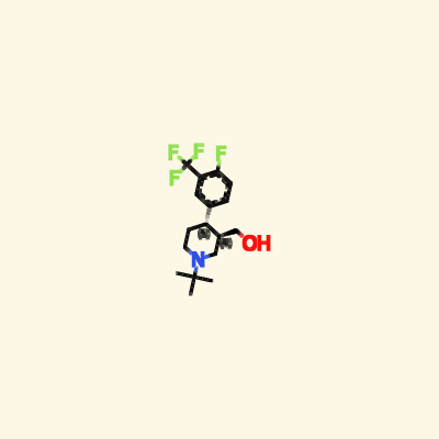 CC(C)(C)N1CC[C@H](c2ccc(F)c(C(F)(F)F)c2)[C@@H](CO)C1